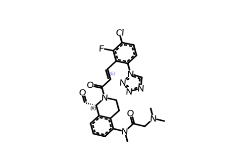 CN(C)CC(=O)N(C)c1cccc2c1CCN(C(=O)/C=C/c1c(-n3cnnn3)ccc(Cl)c1F)[C@H]2C=O